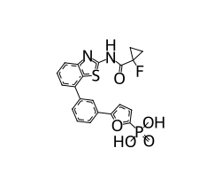 O=C(Nc1nc2cccc(-c3cccc(-c4ccc(P(=O)(O)O)o4)c3)c2s1)C1(F)CC1